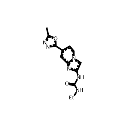 CCNC(=O)Nc1cn2ccc(-c3nnc(C)o3)cc2n1